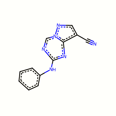 N#Cc1cnn2cnc(Nc3ccccc3)nc12